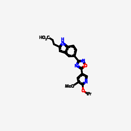 COc1cc(-c2nc(-c3ccc4[nH]c(CCC(=O)O)cc4c3)no2)cnc1OC(C)C